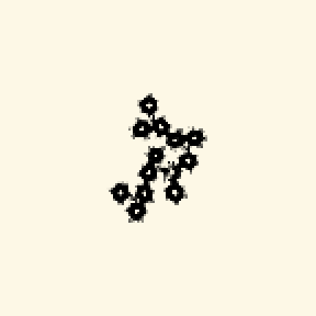 c1ccc(-c2cc(-c3cccc(-n4c5ccccc5c5cc(-c6ccc7c(c6)c6ccccc6n7-c6ccccc6)ccc54)c3)nc(-n3c4ccccc4c4ccc(-c5ccc6c7ccccc7n(-c7ccccc7)c6c5)cc43)n2)cc1